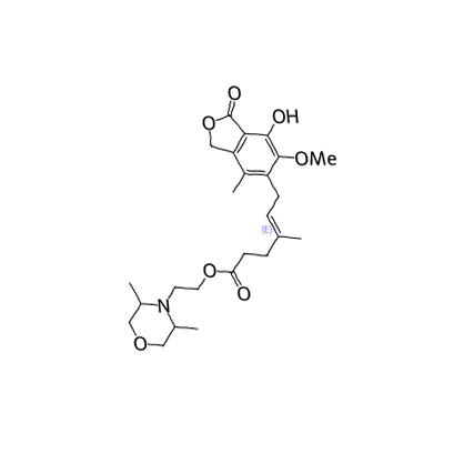 COc1c(O)c2c(c(C)c1C/C=C(\C)CCC(=O)OCCN1C(C)COCC1C)COC2=O